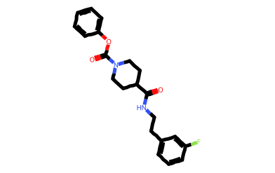 O=C(NCCc1cccc(F)c1)C1CCN(C(=O)Oc2ccccc2)CC1